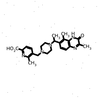 Cc1nc(C(=O)O)ccc1CN1CCN(C(C)c2ccc3nc(C)c(=O)[nH]c3c2C)CC1